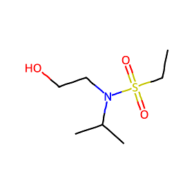 CCS(=O)(=O)N(CCO)C(C)C